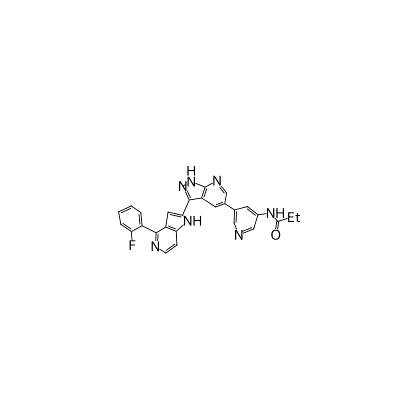 CCC(=O)Nc1cncc(-c2cnc3[nH]nc(-c4cc5c(-c6ccccc6F)nccc5[nH]4)c3c2)c1